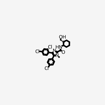 Cn1c(C(=O)NC2CCCC[C@@H]2CO)nc(-c2ccc(Cl)cc2Cl)c1-c1ccc(Cl)cc1